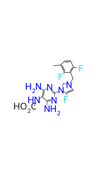 Cc1ccc(F)c(CN2C=C(F)N(c3nc(N)c(NC(=O)O)c(N)n3)C2)c1F